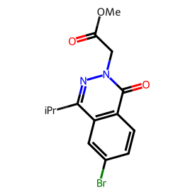 COC(=O)Cn1nc(C(C)C)c2cc(Br)ccc2c1=O